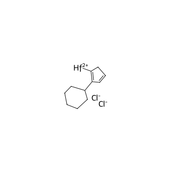 [Cl-].[Cl-].[Hf+2][C]1=C(C2CCCCC2)C=CC1